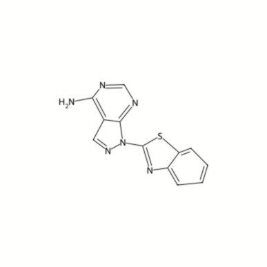 Nc1ncnc2c1cnn2-c1nc2ccccc2s1